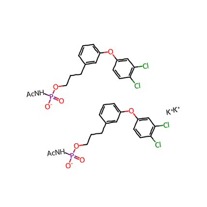 CC(=O)NP(=O)([O-])OCCCc1cccc(Oc2ccc(Cl)c(Cl)c2)c1.CC(=O)NP(=O)([O-])OCCCc1cccc(Oc2ccc(Cl)c(Cl)c2)c1.[K+].[K+]